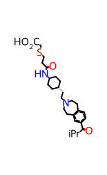 CC(C)C(=O)c1ccc2c(c1)CCN(CC[C@H]1CC[C@H](NC(=O)CCSCC(=O)O)CC1)CC2